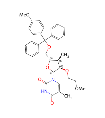 COCCO[C@@H]1[C@H](C)[C@@H](COC(c2ccccc2)(c2ccccc2)c2ccc(OC)cc2)O[C@H]1n1cc(C)c(=O)[nH]c1=O